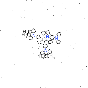 CC1(C)c2ccccc2N(c2ccc(-c3c(C#N)c(-c4ccc(N5c6ccccc6C(C)(C)c6ccccc65)cc4)c(-c4ccccc4)c(-n4c5ccccc5c5cc(N(c6ccccc6)c6ccccc6)ccc54)c3-c3ccccc3)cc2)c2ccccc21